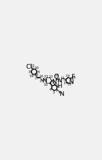 N#Cc1ccc2c3c(n(C(=O)NCc4ccnc(F)c4)c2c1)CCN(CC=Cc1ccc(Cl)cc1)C3